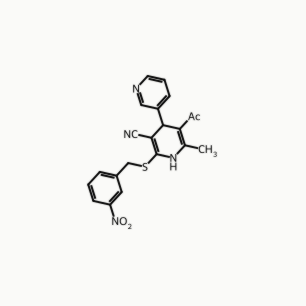 CC(=O)C1=C(C)NC(SCc2cccc([N+](=O)[O-])c2)=C(C#N)C1c1cccnc1